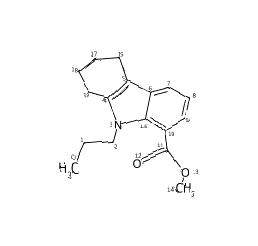 CCCn1c2c(c3cccc(C(=O)OC)c31)CCCC2